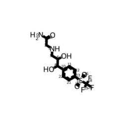 NC(=O)CNCC(O)C(O)c1ccc(S(=O)(=O)C(F)(F)F)cc1